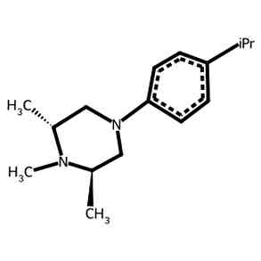 CC(C)c1ccc(N2C[C@@H](C)N(C)[C@H](C)C2)cc1